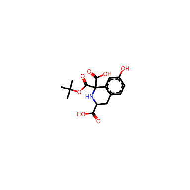 CC(C)(C)OC(=O)C1(C(=O)O)NC(C(=O)O)Cc2ccc(O)cc21